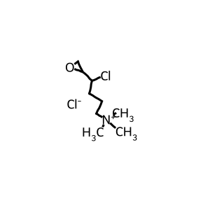 C[N+](C)(C)CCCC(Cl)C1CO1.[Cl-]